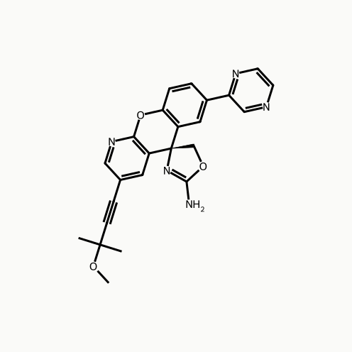 COC(C)(C)C#Cc1cnc2c(c1)[C@]1(COC(N)=N1)c1cc(-c3cnccn3)ccc1O2